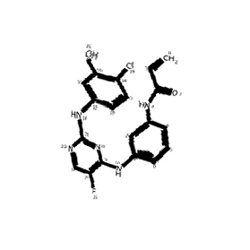 C=CC(=O)Nc1cccc(Nc2nc(Nc3ccc(Cl)c(O)c3)ncc2F)c1